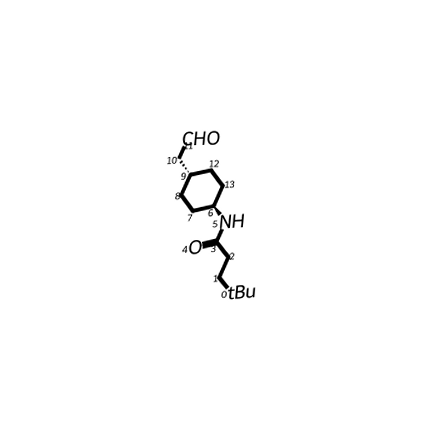 CC(C)(C)CCC(=O)N[C@H]1CC[C@H](CC=O)CC1